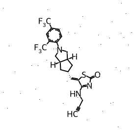 C#CCNC1=NC(=O)S/C1=C\[C@@H]1C[C@@H]2CN(c3ccc(C(F)(F)F)cc3C(F)(F)F)C[C@@H]2C1